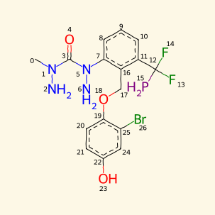 CN(N)C(=O)N(N)c1cccc(C(F)(F)P)c1COc1ccc(O)cc1Br